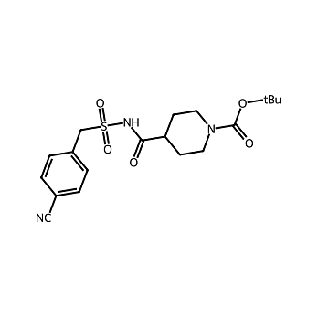 CC(C)(C)OC(=O)N1CCC(C(=O)NS(=O)(=O)Cc2ccc(C#N)cc2)CC1